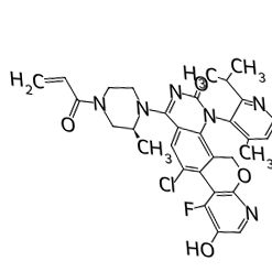 C=CC(=O)N1CCN(c2nc(=O)n(-c3c(C)ccnc3C(C)C)c3c4c(c(Cl)cc23)-c2c(ncc(O)c2F)OC4)[C@@H](C)C1